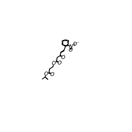 CC(C)OC(=O)CCOC(=O)CC(=O)C=Cc1ccccc1[N+](=O)[O-]